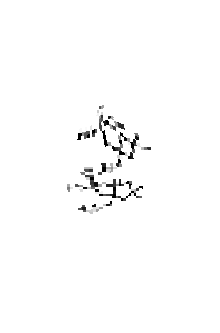 CC1(C)CC(CN)(CP(=O)(O)O)C1.CC1(C)CCC(CN)(CP(=O)(O)O)C1